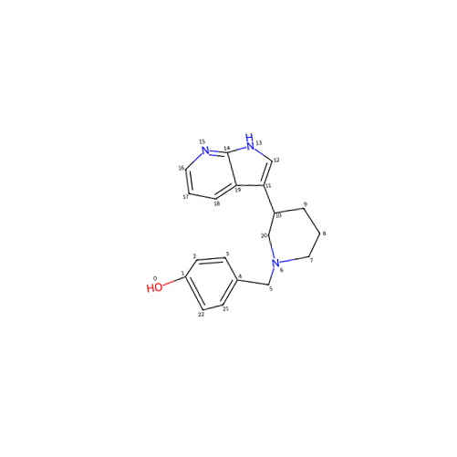 Oc1ccc(CN2CCCC(c3c[nH]c4ncccc34)C2)cc1